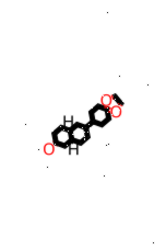 O=C1CC[C@@H]2CC(C3CCC4(CC3)OCCO4)CC[C@H]2C1